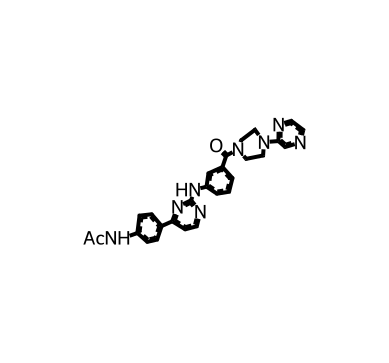 CC(=O)Nc1ccc(-c2ccnc(Nc3cccc(C(=O)N4CCN(c5cnccn5)CC4)c3)n2)cc1